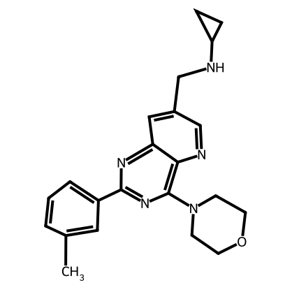 Cc1cccc(-c2nc(N3CCOCC3)c3ncc(CNC4CC4)cc3n2)c1